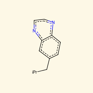 CC(C)Cc1ccc2nccnc2c1